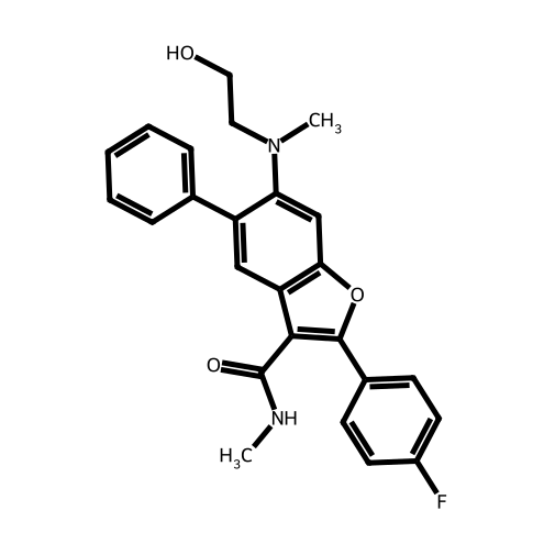 CNC(=O)c1c(-c2ccc(F)cc2)oc2cc(N(C)CCO)c(-c3ccccc3)cc12